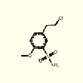 COc1ccc(CCCl)cc1S(N)(=O)=O